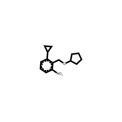 O=[N+]([O-])c1cccc(C2CC2)c1COC1CCCC1